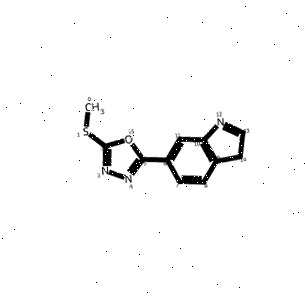 CSc1nnc(-c2ccc3c(c2)N=CC3)o1